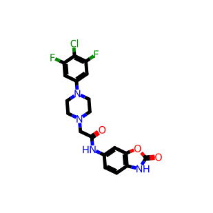 O=C(CN1CCN(c2cc(F)c(Cl)c(F)c2)CC1)Nc1ccc2[nH]c(=O)oc2c1